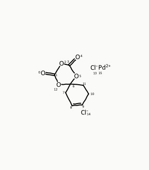 O=C1OC(=O)OC2(CC=CCC2)O1.[Cl-].[Cl-].[Pd+2]